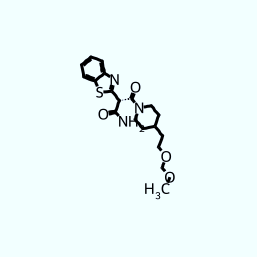 COCOCCC1CCN(C(=O)[C@H](C(N)=O)c2nc3ccccc3s2)CC1